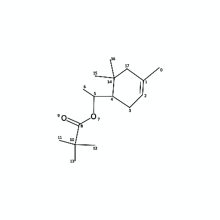 CC1=CCC(C(C)OC(=O)C(C)(C)C)C(C)(C)C1